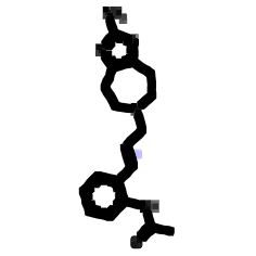 CC(=O)Nc1ccccc1/C=C/CN1CCc2nc(N)sc2CC1